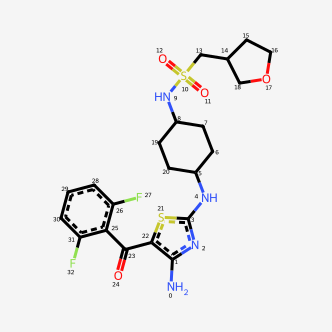 Nc1nc(NC2CCC(NS(=O)(=O)CC3CCOC3)CC2)sc1C(=O)c1c(F)cccc1F